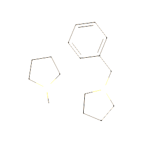 CC[S+]1CCCC1.c1ccc(C[S+]2CCCC2)cc1